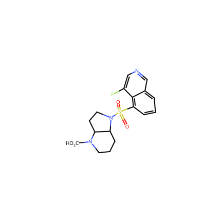 O=C(O)N1CCCC2C1CCN2S(=O)(=O)c1cccc2cncc(F)c12